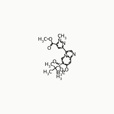 COC(=O)c1cc(-c2cnc3cc(OC)c(S(=O)(=O)C(C)(C)C)cn23)nn1C